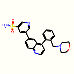 NS(=O)(=O)c1cncc(-c2ccc3nccc(-c4ccccc4CN4CCOCC4)c3c2)c1